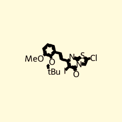 COc1cccc(C=Cc2nc3sc(Cl)cn3c(=O)c2I)c1OCC(C)(C)C